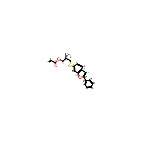 C=CC(=O)OCC(CSc1ccc2cc(-c3ccccc3)oc2c1)C(F)(F)F